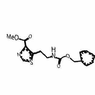 COC(=O)c1ncsc1CCNC(=O)OCc1ccccc1